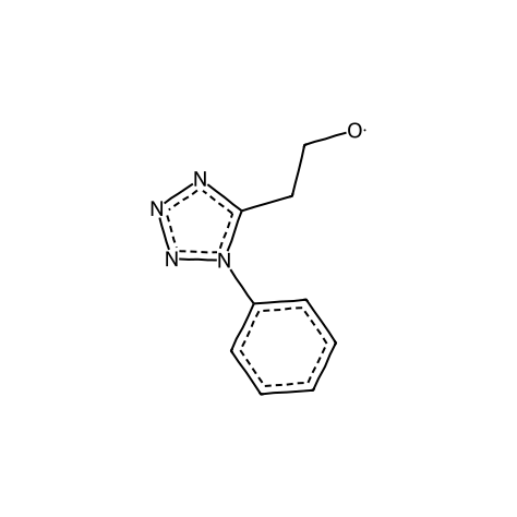 [O]CCc1nnnn1-c1ccccc1